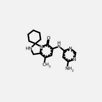 Cc1cc(Nc2cc(N)ncn2)c(=O)n2c1CNC21CCCCC1